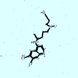 CCN(CCO)CCCC(C)Nc1ccnc2cc(Cl)c(Cl)cc12